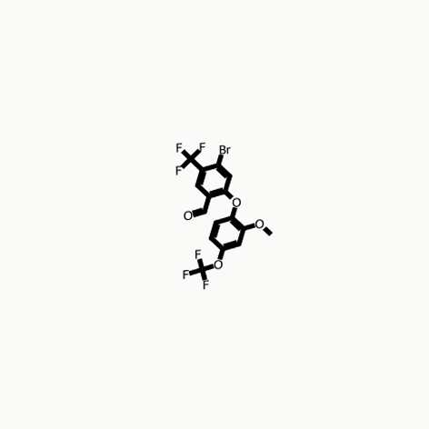 COc1cc(OC(F)(F)F)ccc1Oc1cc(Br)c(C(F)(F)F)cc1C=O